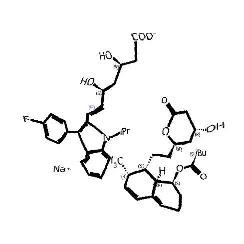 CC(C)n1c(/C=C/[C@@H](O)C[C@@H](O)CC(=O)[O-])c(-c2ccc(F)cc2)c2ccccc21.CC[C@H](C)C(=O)O[C@H]1CCC=C2C=C[C@H](C)[C@H](CC[C@@H]3C[C@@H](O)CC(=O)O3)[C@H]21.[Na+]